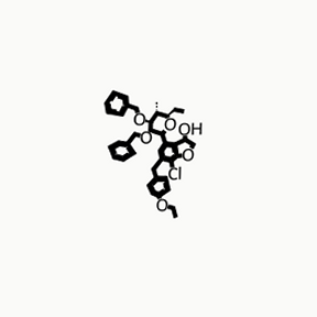 CCOc1ccc(Cc2cc(C3O[C@H](CC)[C@@H](C)[C@H](OCc4ccccc4)[C@H]3OCc3ccccc3)c3c(c2Cl)OCC3O)cc1